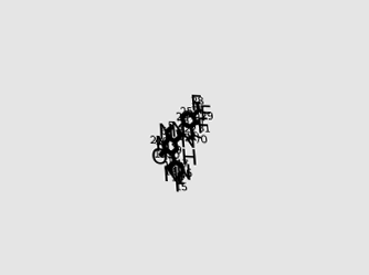 C[C@@H](Nc1ncnc2c1cc(-c1cnc(F)nc1)c(=O)n2C)c1cccc(C(F)F)c1F